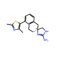 Cc1nc(C)c(-c2cccc3c2CC[C@@]2(CNC(N)=N2)C3)s1